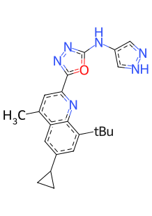 Cc1cc(-c2nnc(Nc3cn[nH]c3)o2)nc2c(C(C)(C)C)cc(C3CC3)cc12